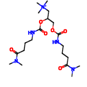 CN(C)C(=O)CCCNC(=O)OCC(C[N+](C)(C)C)OC(=O)NCCCC(=O)N(C)C